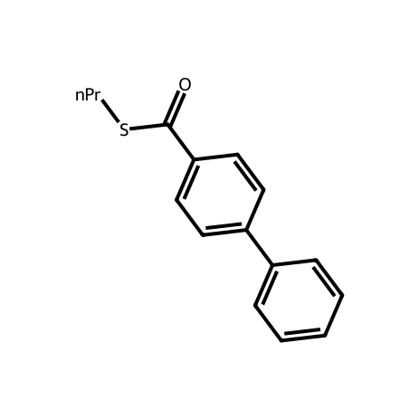 CCCSC(=O)c1ccc(-c2ccccc2)cc1